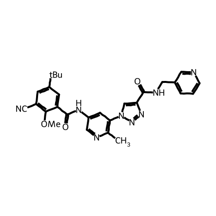 COc1c(C#N)cc(C(C)(C)C)cc1C(=O)Nc1cnc(C)c(-n2cc(C(=O)NCc3cccnc3)nn2)c1